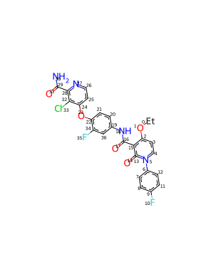 CCOc1ccn(-c2ccc(F)cc2)c(=O)c1C(=O)Nc1ccc(Oc2ccnc(C(N)=O)c2Cl)c(F)c1